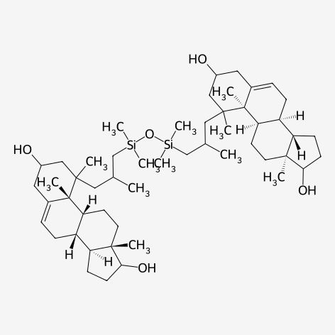 CC(CC1(C)CC(O)CC2=CC[C@@H]3[C@@H](CC[C@]4(C)C(O)CC[C@@H]34)[C@]21C)C[Si](C)(C)O[Si](C)(C)CC(C)CC1(C)CC(O)CC2=CC[C@@H]3[C@@H](CC[C@]4(C)C(O)CC[C@@H]34)[C@]21C